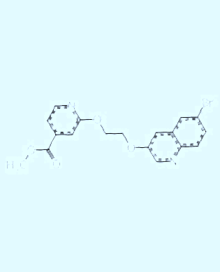 COC(=O)c1ccnc(OCCOc2cnc3ccc(Br)cc3c2)c1